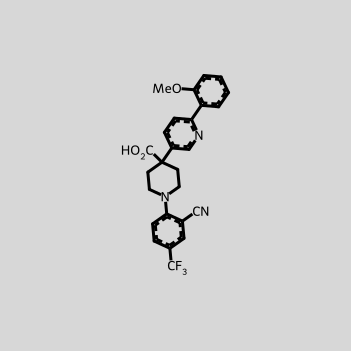 COc1ccccc1-c1ccc(C2(C(=O)O)CCN(c3ccc(C(F)(F)F)cc3C#N)CC2)cn1